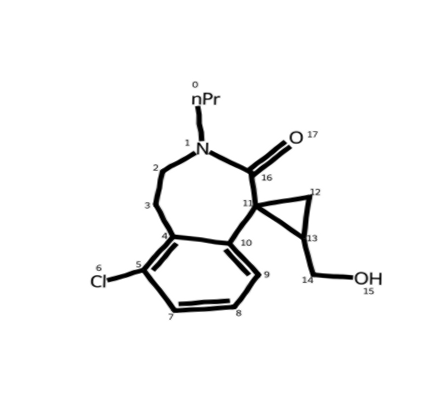 CCCN1CCc2c(Cl)cccc2C2(CC2CO)C1=O